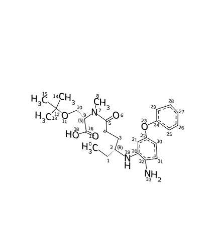 CC[C@H](CCC(=O)N(C)[C@@H](COC(C)(C)C)C(=O)O)Nc1cc(Oc2ccccc2)ccc1N